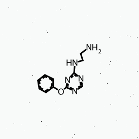 NCCNc1ncnc(Oc2ccccc2)n1